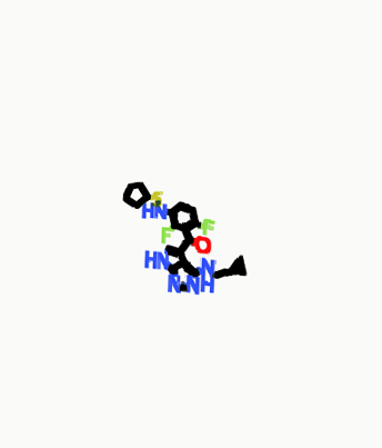 O=C(c1c(F)ccc(NSC2CCCC2)c1F)c1c[nH]c2ncnc(NCC3CC3)c12